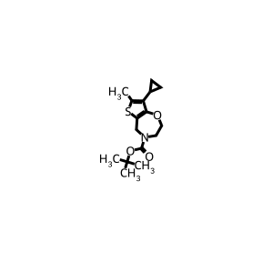 Cc1sc2c(c1C1CC1)OCCN(C(=O)OC(C)(C)C)C2